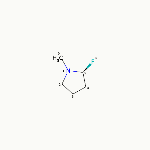 CN1CCC[C@@H]1F